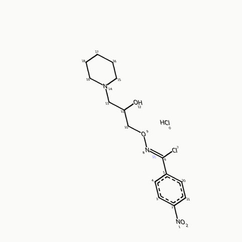 Cl.O=[N+]([O-])c1ccc(/C(Cl)=N/OCC(O)CN2CCCCC2)cc1